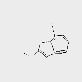 O=C(O)Oc1cc2cccc(Br)c2s1